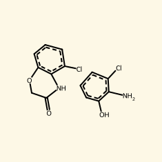 Nc1c(O)cccc1Cl.O=C1COc2cccc(Cl)c2N1